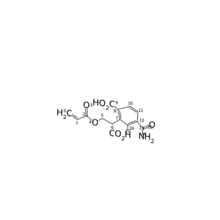 C=CC(=O)OCCc1c(C(=O)O)ccc(C(N)=O)c1C(=O)O